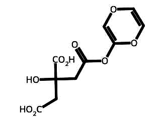 O=C(O)CC(O)(CC(=O)OC1=COC=CO1)C(=O)O